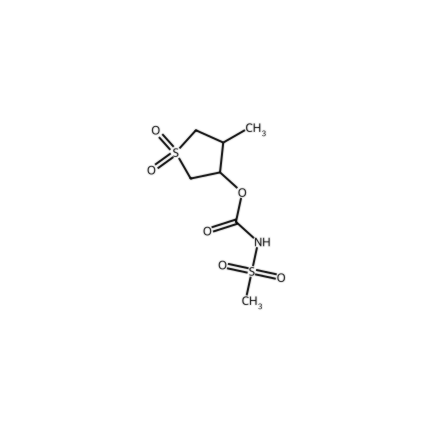 CC1CS(=O)(=O)CC1OC(=O)NS(C)(=O)=O